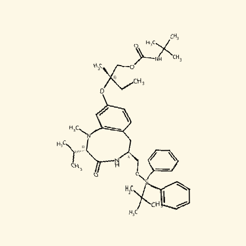 CC[C@@](C)(COC(=O)NC(C)(C)C)Oc1ccc2c(c1)N(C)[C@@H](C(C)C)C(=O)N[C@H](CO[Si](c1ccccc1)(c1ccccc1)C(C)(C)C)C2